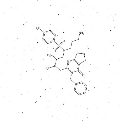 Cc1ccc(S(=O)(=O)N(CCCN)CC(C)N(C)Cc2nc3c(c(=O)n2Cc2ccccc2)COC3)cc1